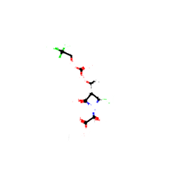 COC(=O)C(=O)N1C(=O)[C@@H](C(C)OC(=O)OCC(Cl)(Cl)Cl)[C@H]1Cl